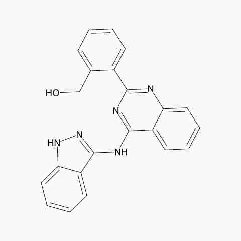 OCc1ccccc1-c1nc(Nc2n[nH]c3ccccc23)c2ccccc2n1